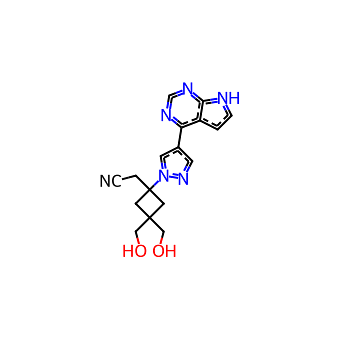 N#CCC1(n2cc(-c3ncnc4[nH]ccc34)cn2)CC(CO)(CO)C1